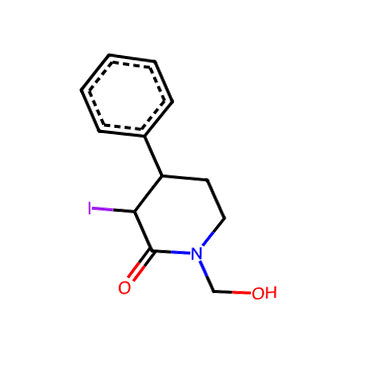 O=C1C(I)C(c2ccccc2)CCN1CO